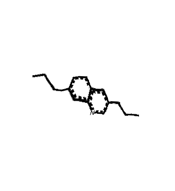 CCCc1cnc2cc(CCC)ccc2c1